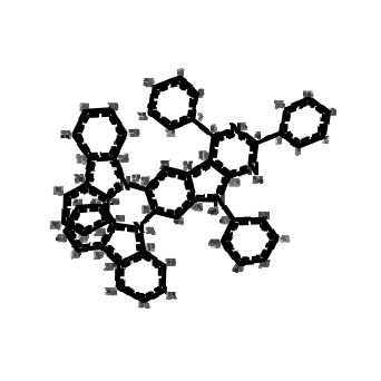 c1ccc(-c2nc(-c3ccccc3)c3c4cc(-n5c6ccccc6c6ccccc65)c(-n5c6ccccc6c6ccccc65)cc4n(-c4ccccc4)c3n2)cc1